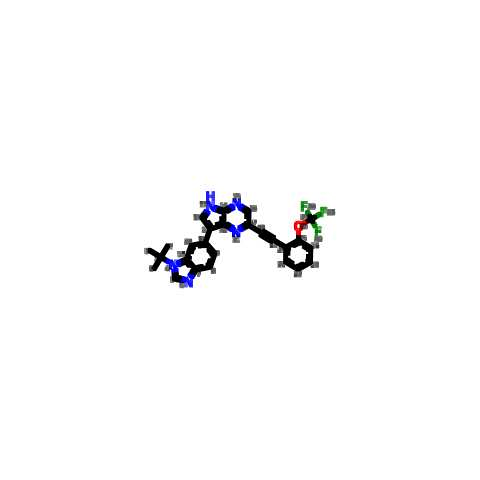 CC(C)(C)n1cnc2ccc(-c3c[nH]c4ncc(C#Cc5ccccc5OC(F)(F)F)nc34)cc21